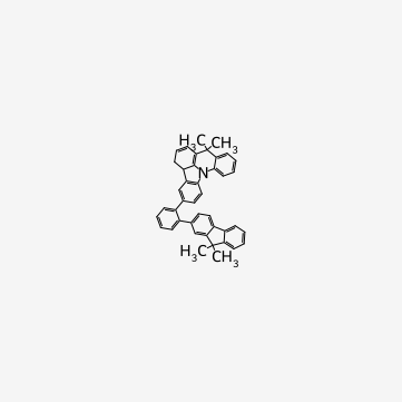 CC1(C)C2=C3C(CC=C2)c2cc(-c4ccccc4-c4ccc5c(c4)C(C)(C)c4ccccc4-5)ccc2N3c2ccccc21